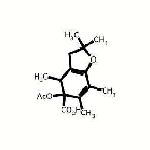 CC(=O)OC1(C(=O)O)C(C)=C(C)C2=C(CC(C)(C)O2)C1C